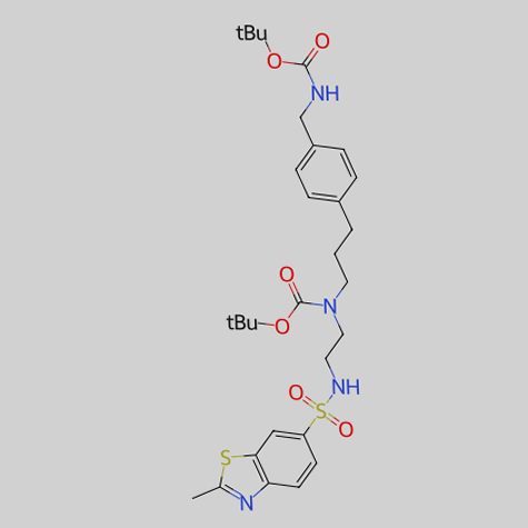 Cc1nc2ccc(S(=O)(=O)NCCN(CCCc3ccc(CNC(=O)OC(C)(C)C)cc3)C(=O)OC(C)(C)C)cc2s1